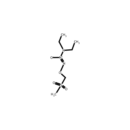 CCN(CC)/[N+]([O-])=N/OCS(C)(=O)=O